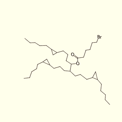 CCCCCC1CC1CCCC(CCCC1CC1CCCCC)C(CCCC1CC1CCCCC)OC(=O)CCCCCBr